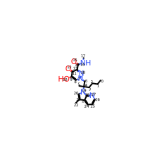 CCCCC(C)(Cn1cc(O)c(=O)c(C(=O)NC)n1)n1cc(C)c2cccnc21